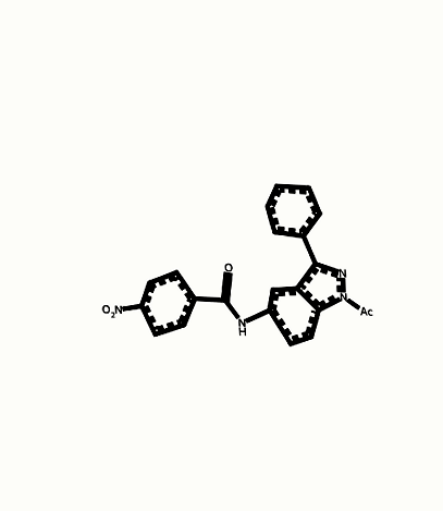 CC(=O)n1nc(-c2ccccc2)c2cc(NC(=O)c3ccc([N+](=O)[O-])cc3)ccc21